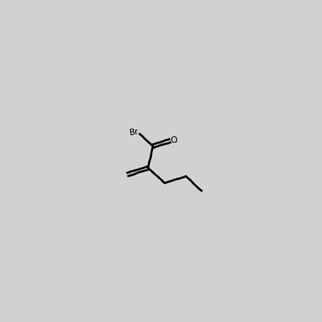 C=C(CCC)C(=O)Br